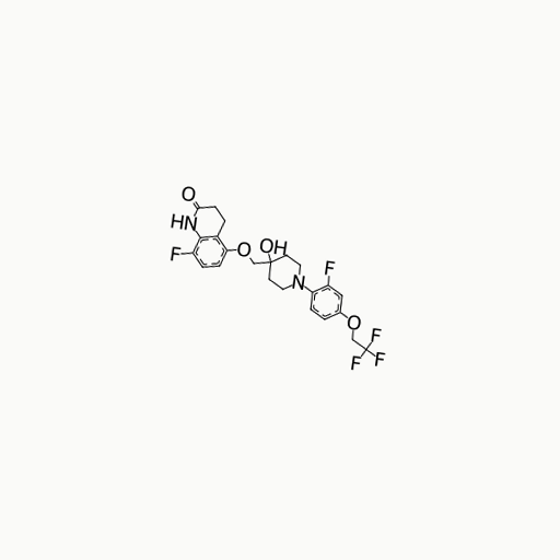 O=C1CCc2c(OCC3(O)CCN(c4ccc(OCC(F)(F)F)cc4F)CC3)ccc(F)c2N1